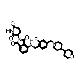 O=C1CCC(N2C(=O)c3cccc(NCc4ccc(CN5CCC(C6CCOCC6)CC5)cc4F)c3C2=O)C(=O)N1